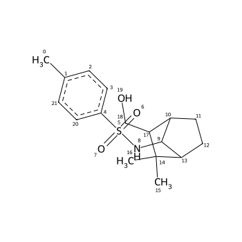 Cc1ccc(S(=O)(=O)NC2C3CCC2C(C)(C)C3CO)cc1